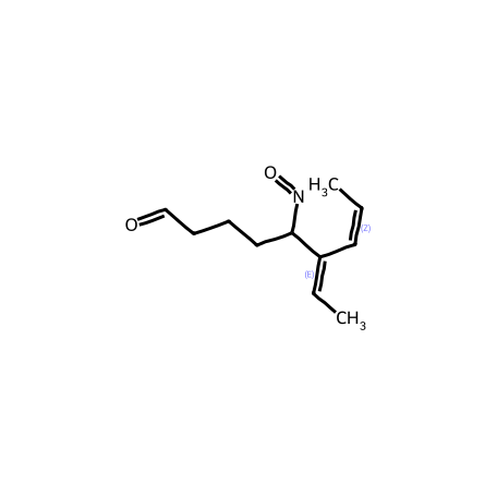 C/C=C\C(=C/C)C(CCCC=O)N=O